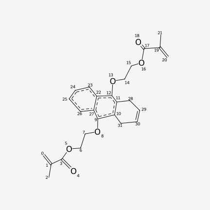 C=C(C)C(=O)OCCOc1c2c(c(OCCOC(=O)C(=C)C)c3ccccc13)CC=CC2